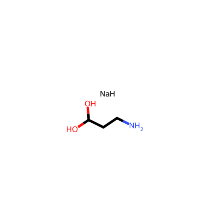 NCCC(O)O.[NaH]